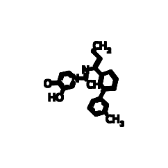 C=C/C=C(\N=C(/C)n1ccc(=O)c(O)c1)C1=CC(c2cccc(C)c2)=C=C=C1